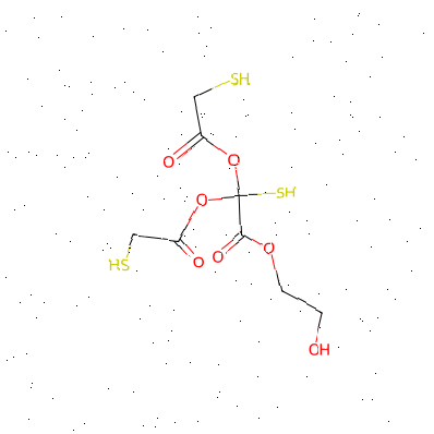 O=C(CS)OC(S)(OC(=O)CS)C(=O)OCCO